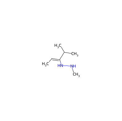 C/C=C(\NNC)C(C)C